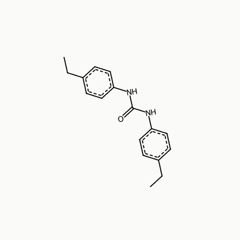 CCc1ccc(NC(=O)Nc2ccc(CC)cc2)cc1